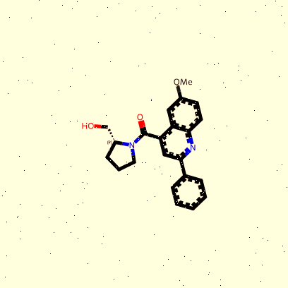 COc1ccc2nc(-c3ccccc3)cc(C(=O)N3CCC[C@@H]3CO)c2c1